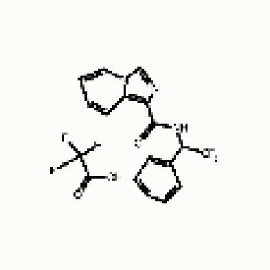 O=C(NC(c1ccccc1)C(F)(F)F)c1ncn2ccccc12.O=C(O)C(F)(F)F